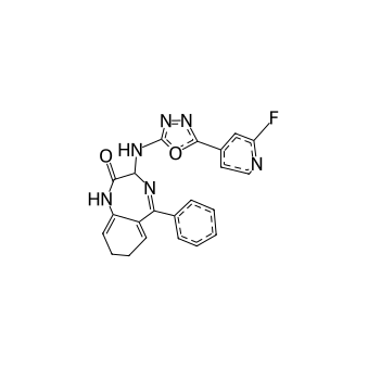 O=C1NC2=CCCC=C2C(c2ccccc2)=NC1Nc1nnc(-c2ccnc(F)c2)o1